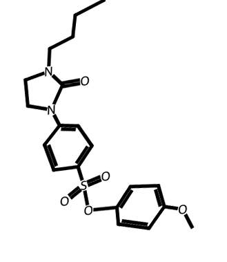 CCCCN1CCN(c2ccc(S(=O)(=O)Oc3ccc(OC)cc3)cc2)C1=O